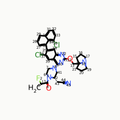 C=C(F)C(=O)N1CCN(c2nc(OCC34CCCN3CCC4)nc3cc(-c4cccc5cccc(Cl)c45)c(Cl)cc23)C[C@@H]1CC#N